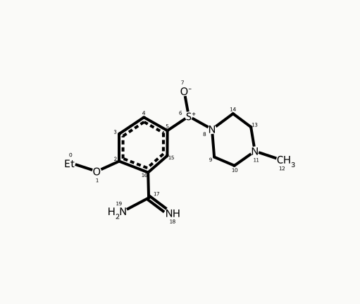 CCOc1ccc([S+]([O-])N2CCN(C)CC2)cc1C(=N)N